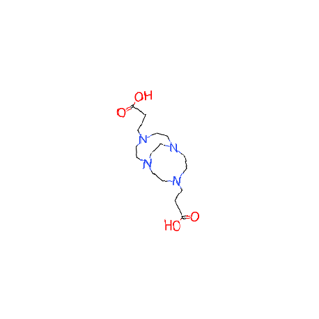 O=C(O)CCN1CCN2CCN(CCC(=O)O)CCN(CC1)CC2